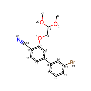 COC(COc1cc(-c2cccc(Br)c2)ccc1C#N)OC